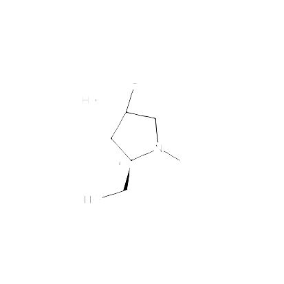 CN1C[C@](C)(F)C[C@@H]1CO